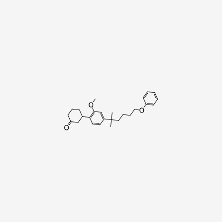 COc1cc(C(C)(C)CCCCOc2ccccc2)ccc1C1CCCC(=O)C1